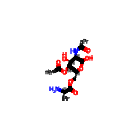 CCCC(=O)N[C@H]1C(O)O[C@H](COC(=O)[C@@H](N)C(C)C)[C@@H](OC(=O)CCC)[C@@H]1O